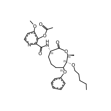 CCCCCO[C@H]1[C@H](C)OC(=O)[C@@H](NC(=O)c2nccc(OC)c2OC(C)=O)CCC[C@@H]1Oc1ccccc1